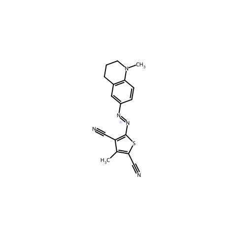 Cc1c(C#N)sc(/N=N/c2ccc3c(c2)CCCN3C)c1C#N